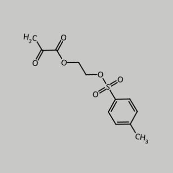 CC(=O)C(=O)OCCOS(=O)(=O)c1ccc(C)cc1